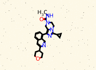 CNC(=O)N1CCn2c(C3CC3)nc(-c3cccc4cc(C5CCOCC5)ncc34)c2C1